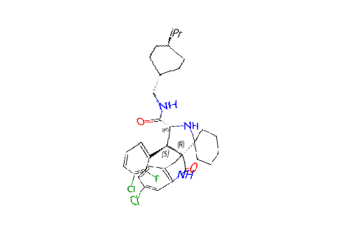 CC(C)[C@H]1CC[C@H](CNC(=O)[C@@H]2NC3(CCCCC3)[C@@]3(C(=O)Nc4cc(Cl)ccc43)[C@H]2c2cccc(Cl)c2F)CC1